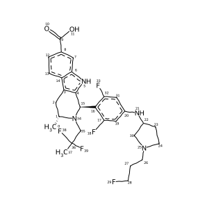 C[C@@H]1Cc2c([nH]c3cc(C(=O)O)ccc23)[C@@H](c2c(F)cc(NC3CCN(CCCF)C3)cc2F)N1CC(C)(F)F